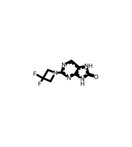 O=c1[nH]c2cnc(N3CC(F)(F)C3)nc2[nH]1